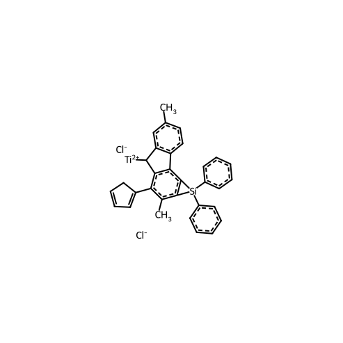 Cc1ccc2c(c1)[CH]([Ti+2])c1c(C3=CC=CC3)c(C)c3c(c1-2)[Si]3(c1ccccc1)c1ccccc1.[Cl-].[Cl-]